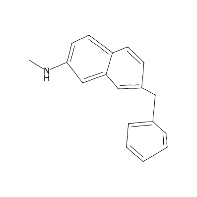 CNc1ccc2ccc(Cc3ccccc3)cc2c1